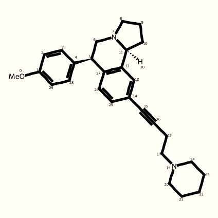 COc1ccc([C@H]2CN3CCC[C@H]3c3cc(C#CCCN4CCCCC4)ccc32)cc1